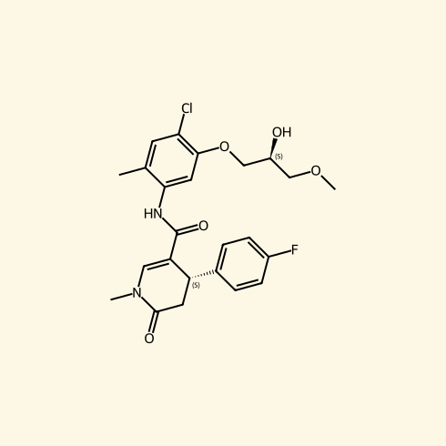 COC[C@H](O)COc1cc(NC(=O)C2=CN(C)C(=O)C[C@H]2c2ccc(F)cc2)c(C)cc1Cl